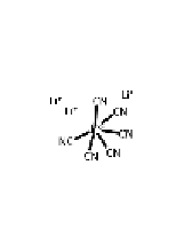 N#[C][Ir-3]([C]#N)([C]#N)([C]#N)([C]#N)[C]#N.[Li+].[Li+].[Li+]